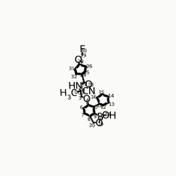 C[C@](C#N)(COc1ccc2c(c1-c1ccccc1)B(O)OC2)NC(=O)c1ccc(OCF)cc1